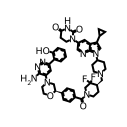 Nc1nnc(-c2ccccc2O)cc1N1CCO[C@H](c2ccc(C(=O)N3CC[C@H](CN4CCC(n5cc(C6CC6)c6cc(N7CCC(=O)NC7=O)cnc65)CC4)C(F)(F)C3)cc2)C1